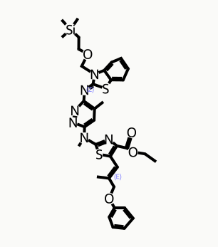 CCOC(=O)c1nc(N(C)c2cc(C)c(/N=c3\sc4ccccc4n3COCC[Si](C)(C)C)nn2)sc1/C=C(\C)COc1ccccc1